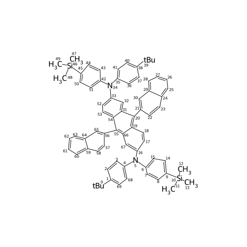 CC(C)(C)c1ccc(N(c2ccc([Si](C)(C)C)cc2)c2ccc3c(-c4ccc5ccccc5c4)c4cc(N(c5ccc(C(C)(C)C)cc5)c5ccc([Si](C)(C)C)cc5)ccc4c(-c4ccc5ccccc5c4)c3c2)cc1